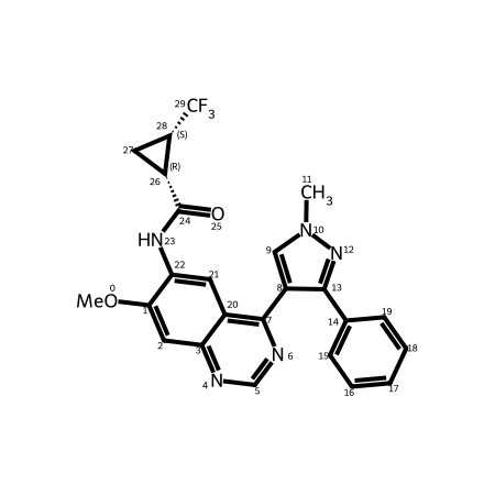 COc1cc2ncnc(-c3cn(C)nc3-c3ccccc3)c2cc1NC(=O)[C@@H]1C[C@@H]1C(F)(F)F